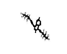 Cc1ccc2c(C#CC(F)(F)C(F)(F)C(F)(F)F)c(C)cc(C#CC(F)(F)C(F)(F)C(F)(F)F)c2c1